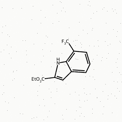 CCOC(=O)c1cc2cccc(C(F)(F)F)c2[nH]1